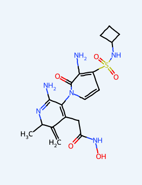 C=C1C(CC(=O)NO)=C(n2ccc(S(=O)(=O)NC3CCC3)c(N)c2=O)C(N)=NC1C